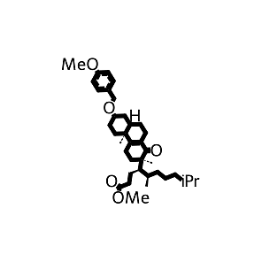 COC(=O)CC[C@H]([C@H](C)CCCC(C)C)[C@@]1(C)CCC2=C(CC[C@H]3CC(OCc4ccc(OC)cc4)CC[C@]23C)C1=O